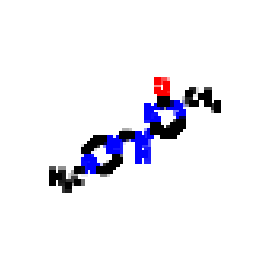 CN1CCN(CNc2ccn(C)c(=O)n2)CC1